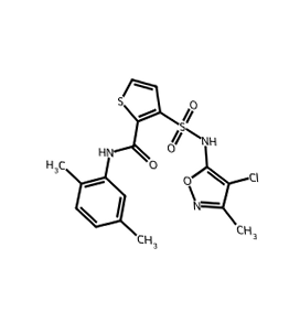 Cc1ccc(C)c(NC(=O)c2sccc2S(=O)(=O)Nc2onc(C)c2Cl)c1